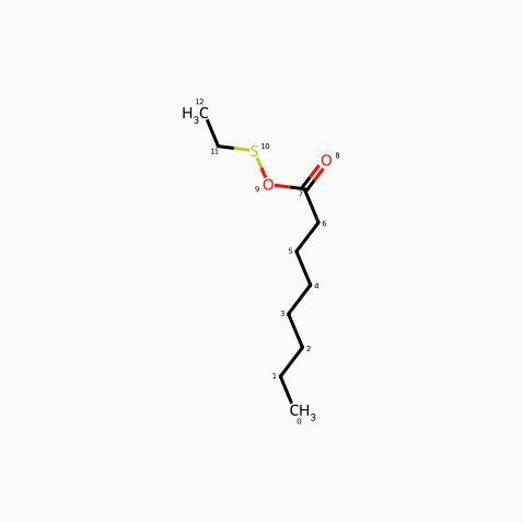 CCCCCCCC(=O)OSCC